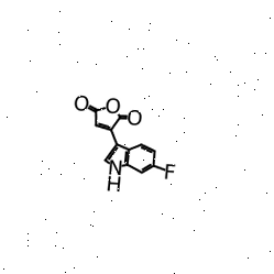 O=C1C=C(c2c[nH]c3cc(F)ccc23)C(=O)O1